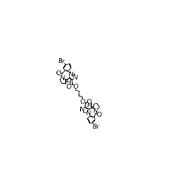 O=C(OCCCCOC(=O)c1ncn2c1[C@@H]1CCCN1C(=O)c1cc(Br)ccc1-2)c1ncn2c1[C@@H]1CCCN1C(=O)c1cc(Br)ccc1-2